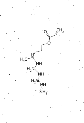 C=CC(=O)OCCC[SiH](C)N[SiH2]N[SiH2]N[SiH3]